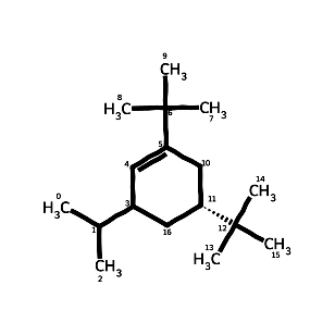 CC(C)C1C=C(C(C)(C)C)C[C@H](C(C)(C)C)C1